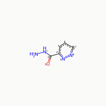 NNC(=O)c1ccbnn1